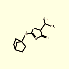 CC(C)C1SC(NC23CCC(CC2)C3)=NC1=O